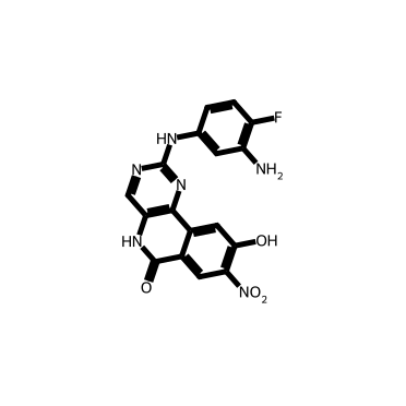 Nc1cc(Nc2ncc3[nH]c(=O)c4cc([N+](=O)[O-])c(O)cc4c3n2)ccc1F